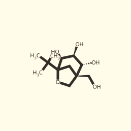 CC(C)(C)C12C[C@@](CO)(CO1)[C@@H](O)[C@H](O)[C@H]2O